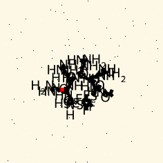 CC(C)C(=O)CNC(=O)C1CSc2c(F)c(F)c(c(F)c2F)SCC(NS)C(=O)NC(CCCNC(=N)N)C(=O)NC(CCCNC(=N)N)C(=O)NC(CCCNC(=N)N)C(=O)NC(CCCNC(=N)N)C(=O)N1